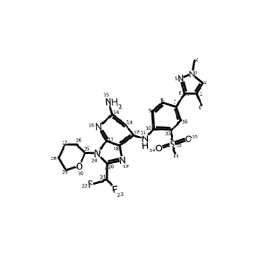 Cc1cn(C)nc1-c1ccc(Nc2cc(N)nc3c2nc(C(F)F)n3C2CCCCO2)c(S(C)(=O)=O)c1